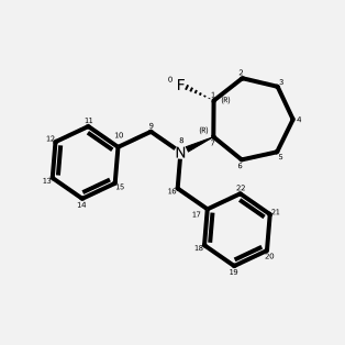 F[C@@H]1CCCCC[C@H]1N(Cc1ccccc1)Cc1ccccc1